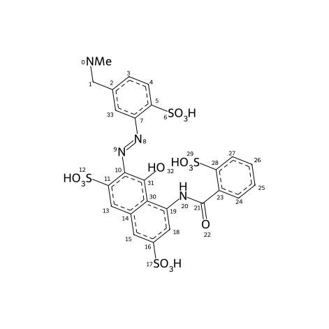 CNCc1ccc(S(=O)(=O)O)c(/N=N/c2c(S(=O)(=O)O)cc3cc(S(=O)(=O)O)cc(NC(=O)c4ccccc4S(=O)(=O)O)c3c2O)c1